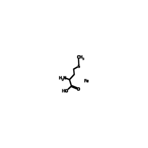 CSCCC(N)C(=O)O.[Fe]